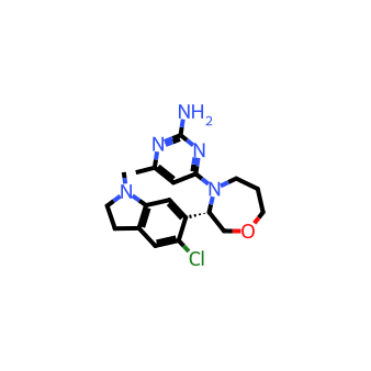 Cc1cc(N2CCCOC[C@@H]2c2cc3c(cc2Cl)CCN3C)nc(N)n1